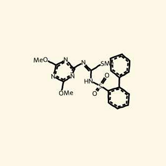 COc1nc(N=C(NS(=O)(=O)c2ccccc2-c2ccccc2)SC)nc(OC)n1